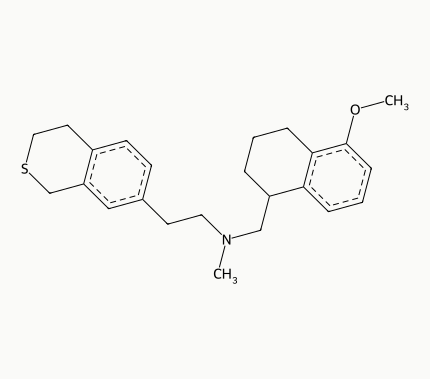 COc1cccc2c1CCCC2CN(C)CCc1ccc2c(c1)CSCC2